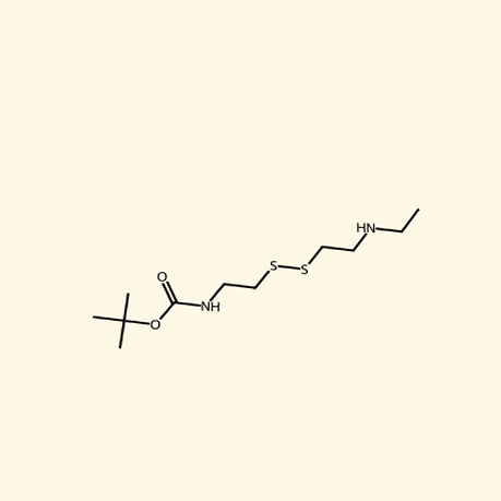 CCNCCSSCCNC(=O)OC(C)(C)C